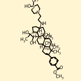 COC(=O)c1ccc(C2=CC[C@]3(C)[C@H]4CC[C@@H]5[C@H]6[C@H](C(C)(O)CO)CC[C@]6(NCCN6CCS(O)(O)CC6)CC[C@@]5(C)[C@]4(C)CC[C@H]3C2(C)C)cc1